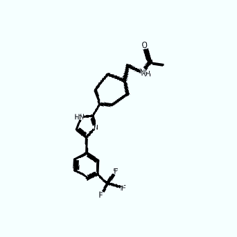 CC(=O)NCC1CCC(c2nc(-c3cccc(C(F)(F)F)c3)c[nH]2)CC1